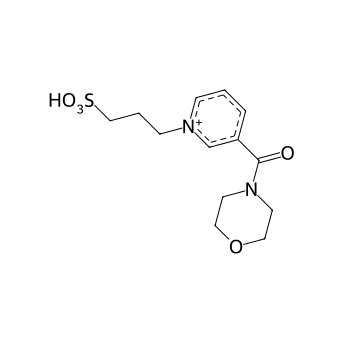 O=C(c1ccc[n+](CCCS(=O)(=O)O)c1)N1CCOCC1